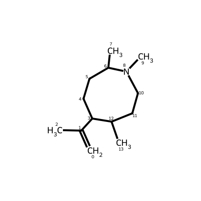 C=C(C)C1CCC(C)N(C)CCC1C